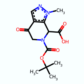 Cn1ncc2c1C(C(=O)O)N(C(=O)OC(C)(C)C)CC2=O